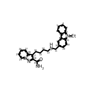 CCn1c2ccccc2c2cc(CNCCCCc3c(C(N)=O)nn4ccccc34)ccc21